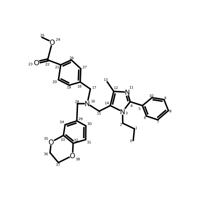 CCCn1c(-c2ccccc2)nc(C)c1CN(Cc1ccc(C(=O)OC)cc1)Cc1ccc2c(c1)OCCO2